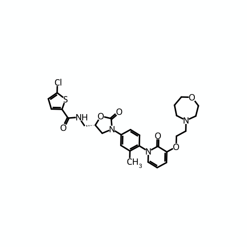 Cc1cc(N2C[C@H](CNC(=O)c3ccc(Cl)s3)OC2=O)ccc1-n1cccc(OCCN2CCCOCC2)c1=O